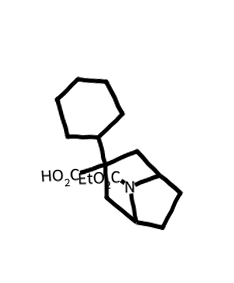 CCOC(=O)N1C2CCC1CC(C(=O)O)(C1CCCCC1)C2